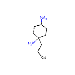 N#CCCC1(N)CCC(N)CC1